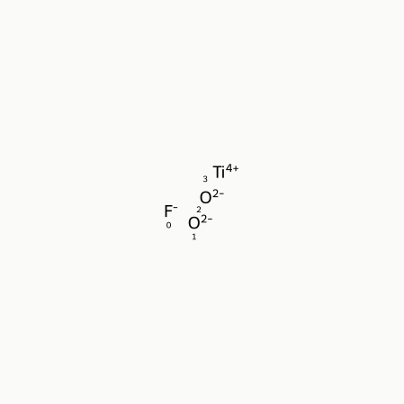 [F-].[O-2].[O-2].[Ti+4]